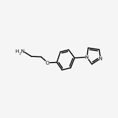 NCCOc1ccc(-n2ccnc2)cc1